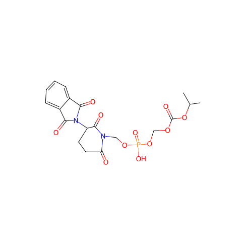 CC(C)OC(=O)OCOP(=O)(O)OCN1C(=O)CCC(N2C(=O)c3ccccc3C2=O)C1=O